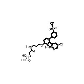 CCN(CCCOc1ccc(-c2cccc(S(=O)(=O)C3CC3)c2)c2c1[nH]c1ncc(Cl)cc12)C(F)COP(=O)(O)O